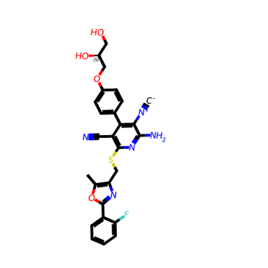 [C-]#[N+]c1c(N)nc(SCc2nc(-c3ccccc3F)oc2C)c(C#N)c1-c1ccc(OC[C@@H](O)CO)cc1